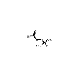 CC(C)(F)C=CC(=O)O